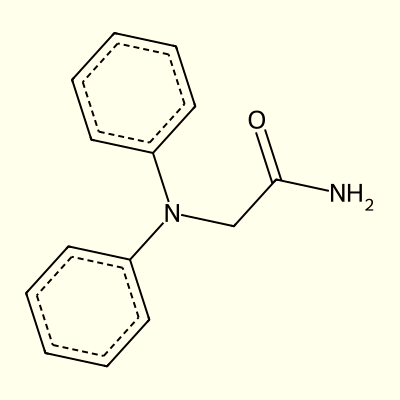 NC(=O)CN(c1ccccc1)c1ccccc1